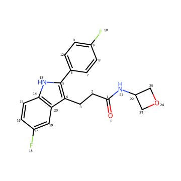 O=C(CCc1c(-c2ccc(F)cc2)[nH]c2ccc(F)cc12)NC1COC1